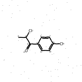 CC(Cl)C(=O)c1ccc(Cl)cc1